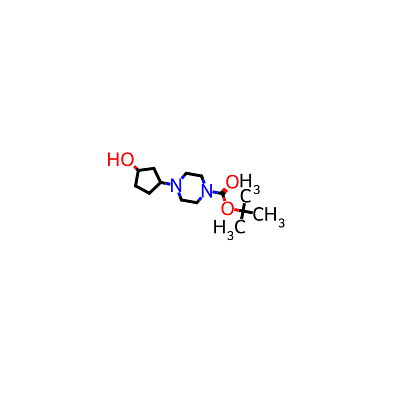 CC(C)(C)OC(=O)N1CCN(C2CCC(O)C2)CC1